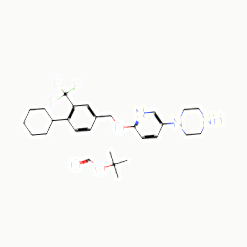 CC(C)(C)OC=O.FC(F)(F)c1cc(COc2ccc(N3CCNCC3)cn2)ccc1C1CCCCC1